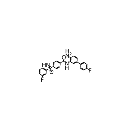 N=S(=O)(c1ccc(C(=O)Nc2cc(-c3ccc(F)cc3)ccc2N)cc1)c1cccc(F)c1